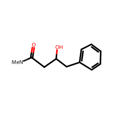 CNC(=O)CC(O)Cc1ccccc1